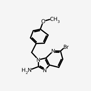 COc1ccc(Cn2c(N)nc3ccc(Br)nc32)cc1